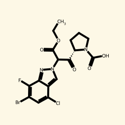 CCOC(=O)C(C(=O)[C@@H]1CCCN1C(=O)O)n1cc2c(Cl)cc(Br)c(F)c2n1